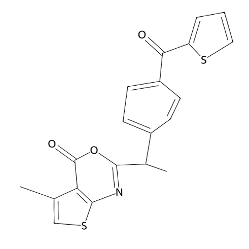 Cc1csc2nc(C(C)c3ccc(C(=O)c4cccs4)cc3)oc(=O)c12